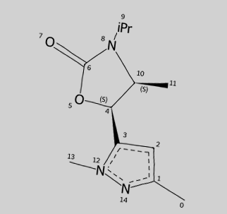 Cc1cc([C@H]2OC(=O)N(C(C)C)[C@H]2C)n(C)n1